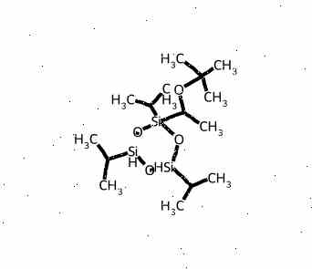 CC(C)[SiH]1O[SiH](C(C)C)O[Si](C(C)C)(C(C)OC(C)(C)C)O1